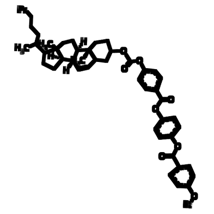 CCOc1ccc(C(=O)Oc2ccc(OC(=O)c3ccc(OC(=O)OC4CC[C@]5(C)C(C=C[C@@H]6[C@H]7CC[C@@H](C(C)CCCC(C)C)[C@]7(C)CC[C@H]65)C4)cc3)cc2)cc1